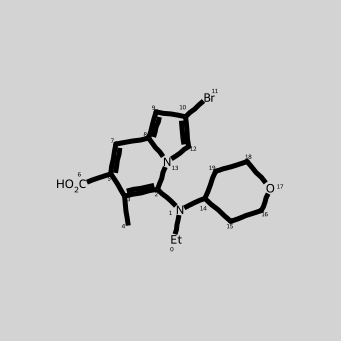 CCN(c1c(C)c(C(=O)O)cc2cc(Br)cn12)C1CCOCC1